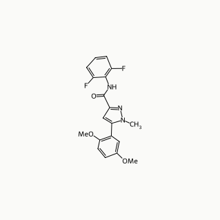 COc1ccc(OC)c(-c2cc(C(=O)Nc3c(F)cccc3F)nn2C)c1